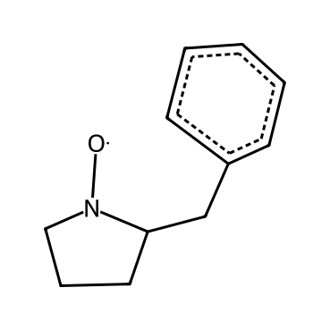 [O]N1CCCC1Cc1ccccc1